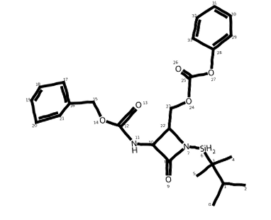 CC(C)C(C)(C)[SiH2]N1C(=O)C(NC(=O)OCc2ccccc2)C1COC(=O)Oc1ccccc1